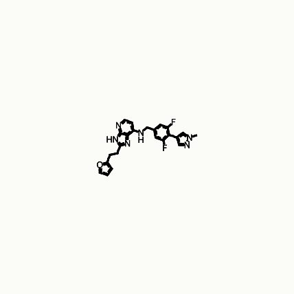 Cn1cc(-c2c(F)cc(CNc3ccnc4[nH]c(CCc5ccco5)nc34)cc2F)cn1